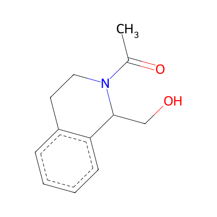 CC(=O)N1CCc2ccccc2C1CO